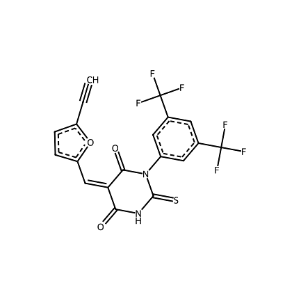 C#Cc1ccc(C=C2C(=O)NC(=S)N(c3cc(C(F)(F)F)cc(C(F)(F)F)c3)C2=O)o1